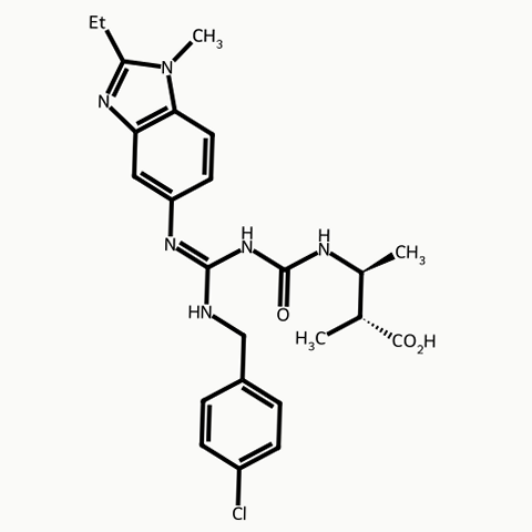 CCc1nc2cc(/N=C(/NCc3ccc(Cl)cc3)NC(=O)N[C@@H](C)[C@@H](C)C(=O)O)ccc2n1C